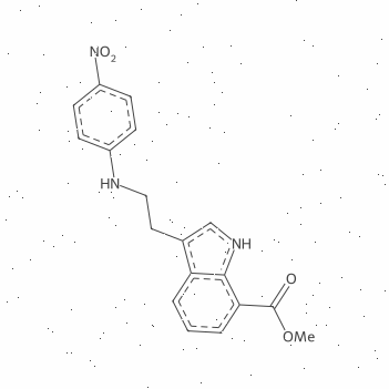 COC(=O)c1cccc2c(CCNc3ccc([N+](=O)[O-])cc3)c[nH]c12